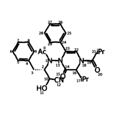 CC(=O)N([C@@H](Cc1ccccc1)C(O)C#N)N1C(=O)C(C(C)C)N(C(=O)C(C)C)C=C1c1ccccc1